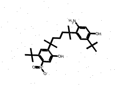 CC(C)(C)c1cc(C(C)(C)CCCC(C)(C)c2cc(C(C)(C)C)c([N+](=O)[O-])cc2O)c(N)cc1O